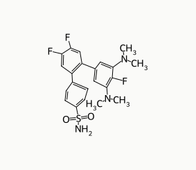 CN(C)c1cc(-c2cc(F)c(F)cc2-c2ccc(S(N)(=O)=O)cc2)cc(N(C)C)c1F